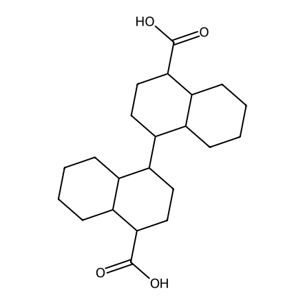 O=C(O)C1CCC(C2CCC(C(=O)O)C3CCCCC32)C2CCCCC12